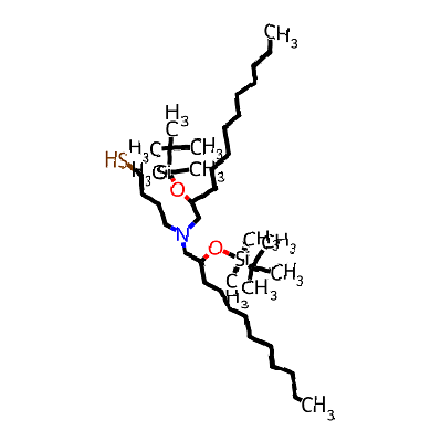 CCCCCCCCCCC(CN(CCCCS)CC(CCCCCCCCCC)O[Si](C)(C)C(C)(C)C)O[Si](C)(C)C(C)(C)C